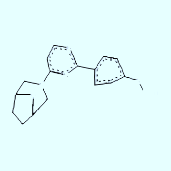 O=C(O)Nc1ccc(-c2nccc(N3CC4CCC(C3)O4)n2)cc1